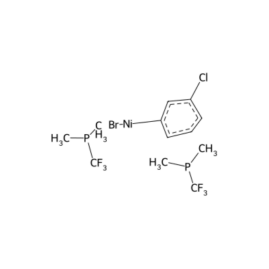 CP(C)C(F)(F)F.CP(C)C(F)(F)F.Clc1ccc[c]([Ni][Br])c1